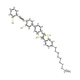 CCCCCCCCCCCCCCCCCCc1ccc2c(c1)sc1c3ccc(-c4ccc(C#Cc5ccccc5F)c(F)c4)cc3sc21